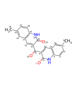 Cc1ccc2[nH]c(=O)c(C(=O)c3cc4cc(C)ccc4[nH]c3=O)cc2c1